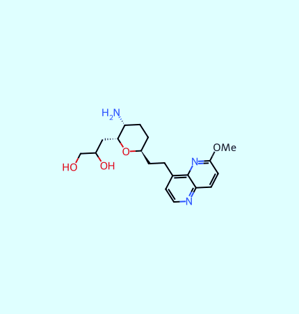 COc1ccc2nccc(CC[C@@H]3CC[C@@H](N)[C@@H](CC(O)CO)O3)c2n1